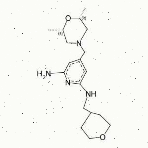 C[C@@H]1CN(Cc2cc(N)nc(NCC3CCOCC3)c2)C[C@H](C)O1